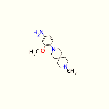 COc1cc(N)ccc1N1CCC2(CCN(C)CC2)CC1